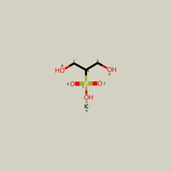 O=S(=O)(O)C(CO)CO.[K]